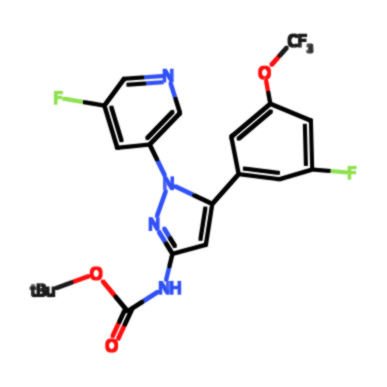 CC(C)(C)OC(=O)Nc1cc(-c2cc(F)cc(OC(F)(F)F)c2)n(-c2cncc(F)c2)n1